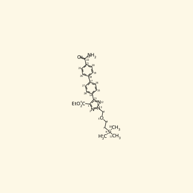 CCOC(=O)c1nn(COCC[Si](C)(C)C)nc1-c1ccc(-c2ccc(C(N)=O)cc2)cc1